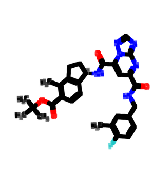 Cc1cc(CNC(=O)c2cc(C(=O)N[C@H]3CCc4c3ccc(C(=O)OC(C)(C)C)c4C)n3ncnc3n2)ccc1F